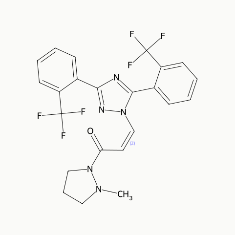 CN1CCCN1C(=O)/C=C\n1nc(-c2ccccc2C(F)(F)F)nc1-c1ccccc1C(F)(F)F